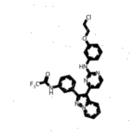 O=C(Nc1cccc(-c2nn3ccccc3c2-c2ccnc(Nc3cccc(OCCCl)c3)n2)c1)C(F)(F)F